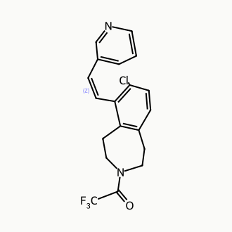 O=C(N1CCc2ccc(Cl)c(/C=C\c3cccnc3)c2CC1)C(F)(F)F